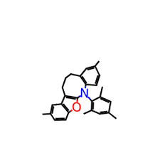 Cc1cc(C)c(N2c3ccc(C)cc3CCCc3c2oc2ccc(C)cc32)c(C)c1